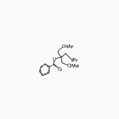 COCC(COC)(CC(C)C)OC(=O)c1ccccc1